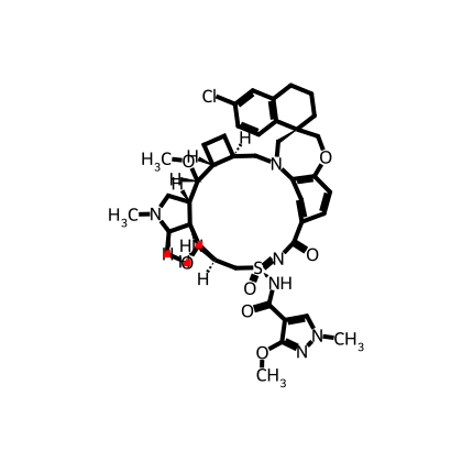 COc1nn(C)cc1C(=O)N[S@@]1(=O)=NC(=O)c2ccc3c(c2)N(C[C@@H]2CC[C@H]2[C@@H](OC)[C@H]2CN(C)[C@H]4CO[C@@H]5[C@@H](C1)N[C@@]254)C[C@@]1(CCCc2cc(Cl)ccc21)CO3